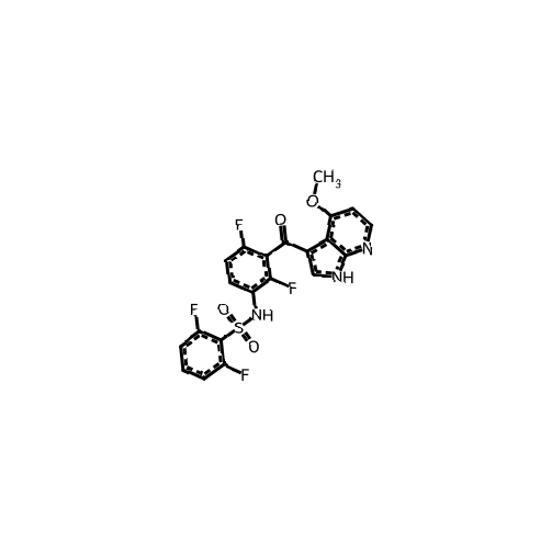 COc1ccnc2[nH]cc(C(=O)c3c(F)ccc(NS(=O)(=O)c4c(F)cccc4F)c3F)c12